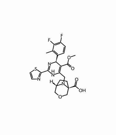 COC(=O)C1=C(CN2[C@H]3CC[C@]2(C(=O)O)COC3)NC(c2nccs2)=N[C@H]1c1ccc(F)c(F)c1C